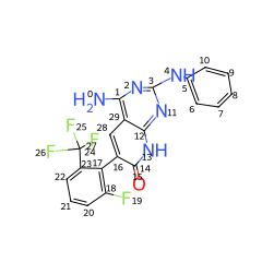 Nc1nc(Nc2ccccc2)nc2[nH]c(=O)c(-c3c(F)cccc3C(F)(F)F)cc12